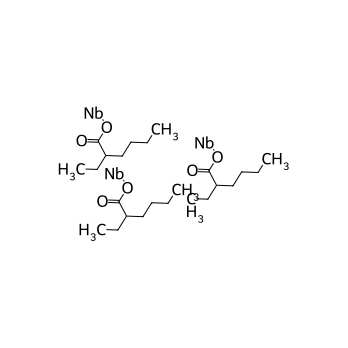 CCCCC(CC)C(=O)[O][Nb].CCCCC(CC)C(=O)[O][Nb].CCCCC(CC)C(=O)[O][Nb]